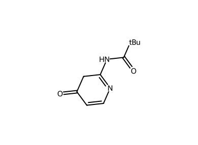 CC(C)(C)C(=O)NC1=NC=CC(=O)C1